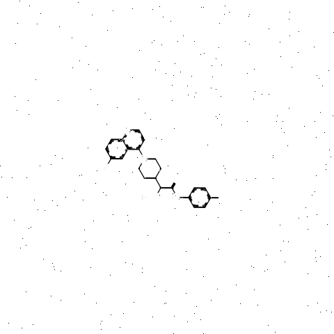 CC(C(=O)Nc1ccc(S)cc1)C1CCN(c2ccnc3ccc(F)cc23)CC1